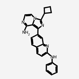 Nc1nccn2c(C3CCC3)nc(-c3ccc4ccc(Nc5ccccc5)nc4c3)c12